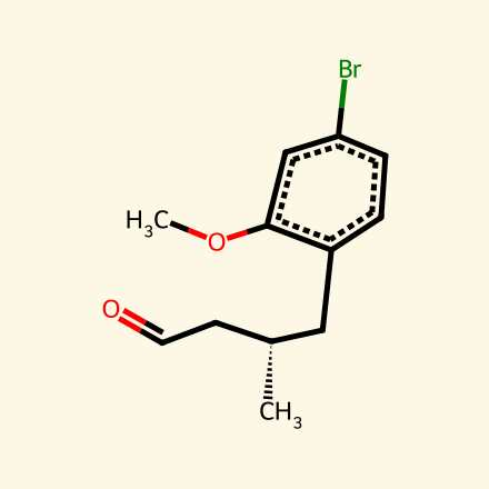 COc1cc(Br)ccc1C[C@H](C)CC=O